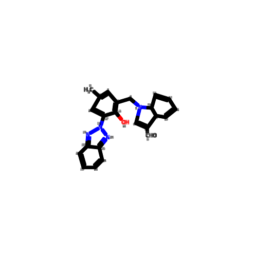 Cc1cc(CN2C=C(C=O)C3C=CC=CC32)c(O)c(-n2nc3ccccc3n2)c1